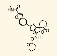 CNC(=O)c1cc2cc(-c3ccc([C@@]4(CC(=O)NOC5CCCCO5)CCCCS4(=O)=O)s3)ccc2o1